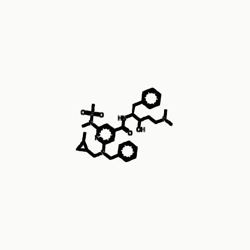 CC1CC1CN(Cc1ccccc1)c1cc(C(=O)N[C@@H](Cc2ccccc2)C(O)CCN(C)C)cc(N(C)S(C)(=O)=O)n1